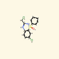 O=S1(c2ccccc2)=NC(CCl)=Nc2ccc(Cl)cc21